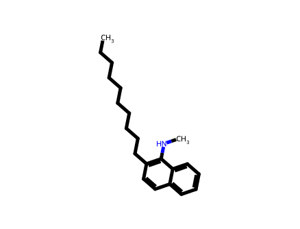 CCCCCCCCCCc1ccc2ccccc2c1NC